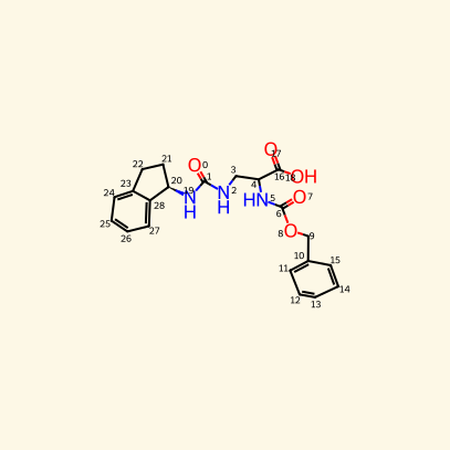 O=C(NCC(NC(=O)OCc1ccccc1)C(=O)O)N[C@@H]1CCc2ccccc21